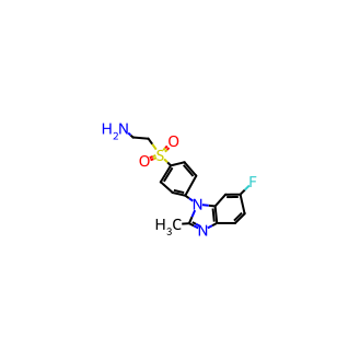 Cc1nc2ccc(F)cc2n1-c1ccc(S(=O)(=O)CCN)cc1